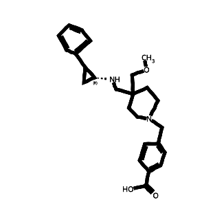 COCC1(CN[C@@H]2CC2c2ccccc2)CCN(Cc2ccc(C(=O)O)cc2)CC1